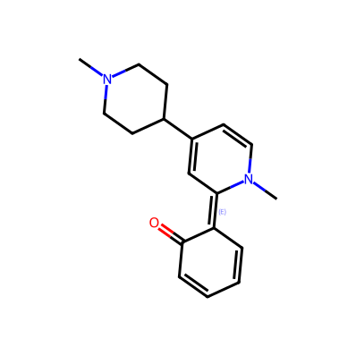 CN1CCC(C2=C/C(=C3/C=CC=CC3=O)N(C)C=C2)CC1